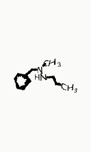 CCCNN(C)Cc1ccccc1